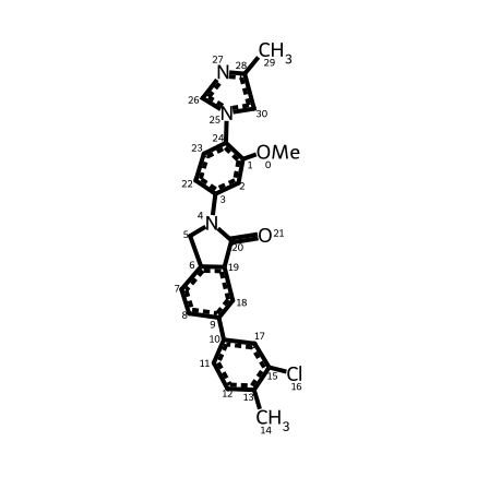 COc1cc(N2Cc3ccc(-c4ccc(C)c(Cl)c4)cc3C2=O)ccc1-n1cnc(C)c1